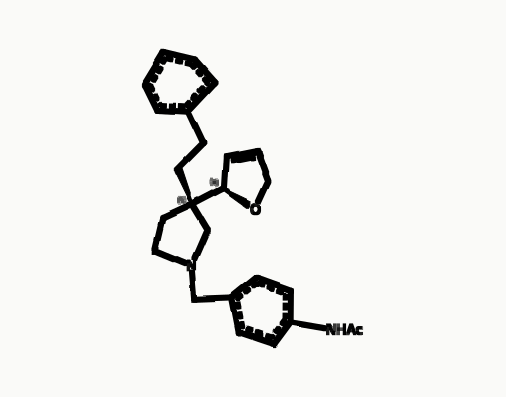 CC(=O)Nc1ccc(CN2CC[C@](CCc3ccccc3)([C@H]3C=CCO3)C2)cc1